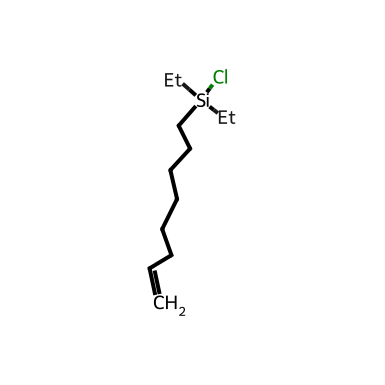 C=CCCCCCC[Si](Cl)(CC)CC